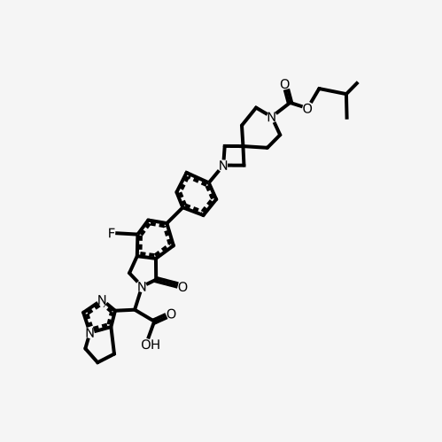 CC(C)COC(=O)N1CCC2(CC1)CN(c1ccc(-c3cc(F)c4c(c3)C(=O)N(C(C(=O)O)c3ncn5c3CCC5)C4)cc1)C2